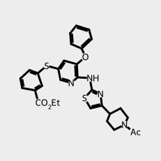 CCOC(=O)c1cccc(Sc2cnc(Nc3nc(C4CCN(C(C)=O)CC4)cs3)c(Oc3ccccc3)c2)c1